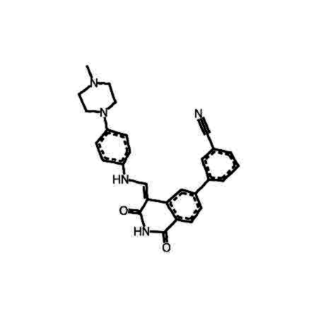 CN1CCN(c2ccc(N/C=C3\C(=O)NC(=O)c4ccc(-c5cccc(C#N)c5)cc43)cc2)CC1